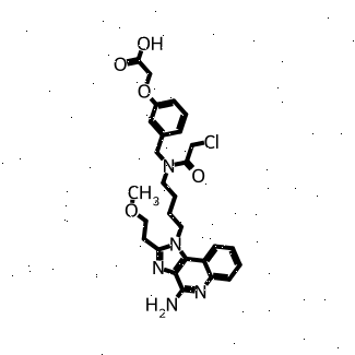 COCCc1nc2c(N)nc3ccccc3c2n1CCCCN(Cc1cccc(OCC(=O)O)c1)C(=O)CCl